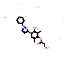 CC(=O)OCC(=O)Oc1c(C)cc(-c2ccn(-c3ccccc3)n2)c(N)c1C